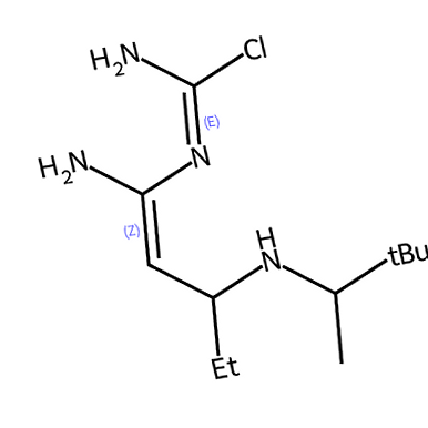 CCC(/C=C(N)\N=C(/N)Cl)NC(C)C(C)(C)C